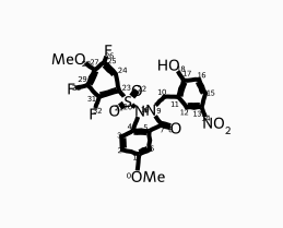 COc1ccc2c(c1)c(=O)n(Cc1cc([N+](=O)[O-])ccc1O)n2S(=O)(=O)c1cc(F)c(OC)c(F)c1F